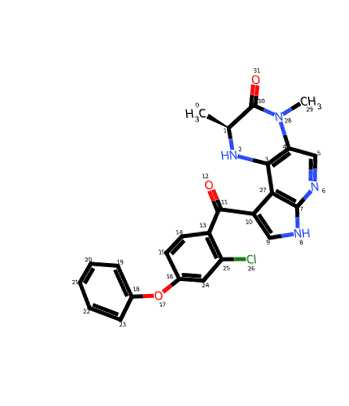 C[C@@H]1Nc2c(cnc3[nH]cc(C(=O)c4ccc(Oc5ccccc5)cc4Cl)c23)N(C)C1=O